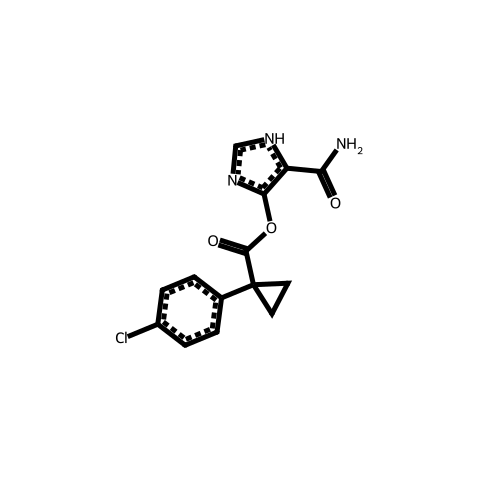 NC(=O)c1[nH]cnc1OC(=O)C1(c2ccc(Cl)cc2)CC1